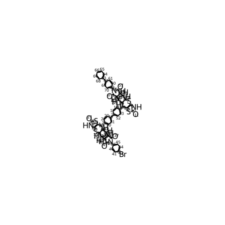 O=C1[C@@H]2[C@H]3C[C@H]([C@@H]4Sc5[nH]c(=O)sc5[C@@H](c5ccc(-c6ccc([C@H]7c8sc(=O)[nH]c8S[C@@H]8[C@@H]9C[C@@H]([C@@H]%10C(=O)N(c%11ccc(Br)cc%11)C(=O)[C@H]9%10)[C@H]78)cc6)cc5)[C@H]34)[C@@H]2C(=O)N1c1ccc(-c2ccccc2)cc1